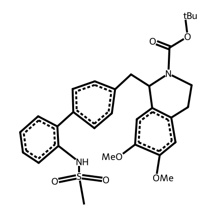 COc1cc2c(cc1OC)C(Cc1ccc(-c3ccccc3NS(C)(=O)=O)cc1)N(C(=O)OC(C)(C)C)CC2